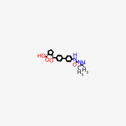 CC(C)NC(=O)Nc1ccc(-c2ccc(C(=O)[C@@H]3CCC[C@H]3C(=O)O)cc2)cc1